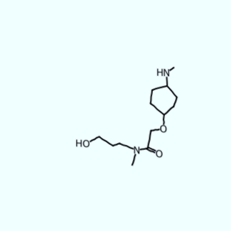 CNC1CCC(OCC(=O)N(C)CCCO)CC1